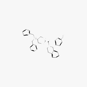 O=C([C@H]1OC[C@H](N(Cc2ccccc2)Cc2ccccc2)CO1)N1CCc2ccccc2[C@@H]1c1ccc(F)cc1